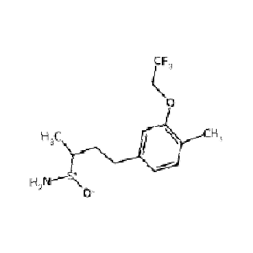 Cc1ccc(CCC(C)[S+](N)[O-])cc1OCC(F)(F)F